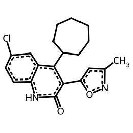 Cc1cc(-c2c(C3CCCCCC3)c3cc(Cl)ccc3[nH]c2=O)on1